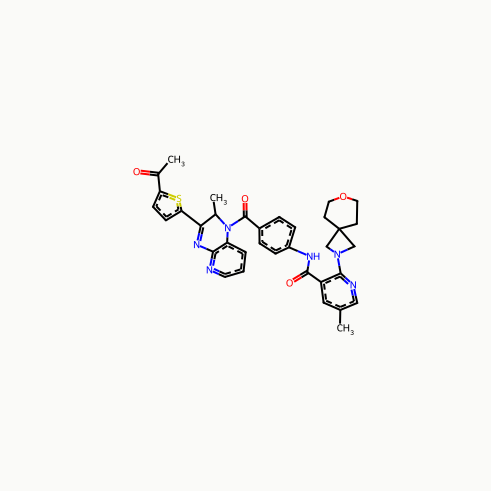 CC(=O)c1ccc(C2=Nc3ncccc3N(C(=O)c3ccc(NC(=O)c4cc(C)cnc4N4CC5(CCOCC5)C4)cc3)C2C)s1